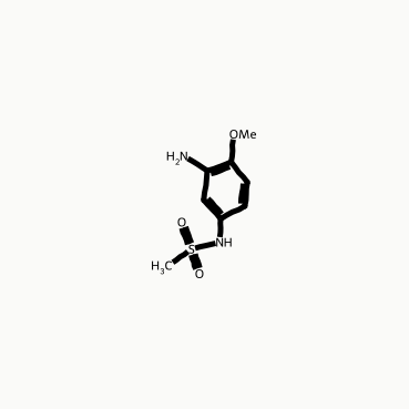 COc1ccc(NS(C)(=O)=O)cc1N